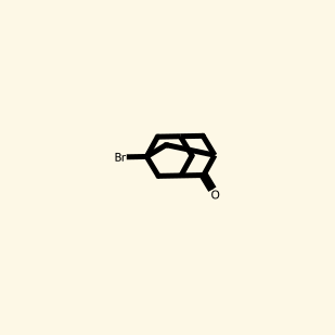 O=C1C2CC3CC1CC(Br)(C3)C2